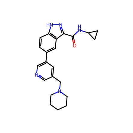 O=C(NC1CC1)c1n[nH]c2ccc(-c3cncc(CN4CCCCC4)c3)cc12